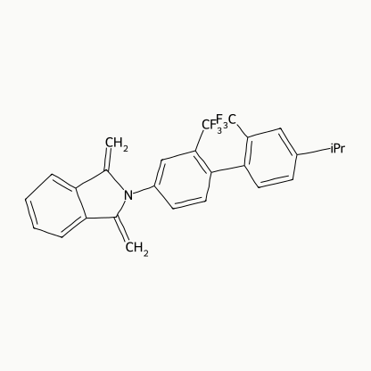 C=c1c2ccccc2c(=C)n1-c1ccc(-c2ccc(C(C)C)cc2C(F)(F)F)c(C(F)(F)F)c1